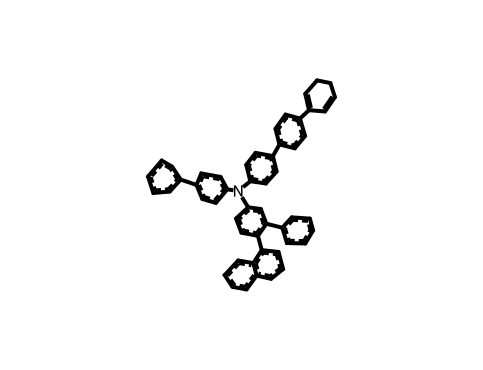 C1=CC(c2ccc(-c3ccc(N(c4ccc(-c5ccccc5)cc4)c4ccc(-c5cccc6ccccc56)c(-c5ccccc5)c4)cc3)cc2)=CCC1